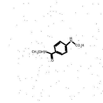 CN(O)C(=O)c1ccc(NC(=O)O)cc1